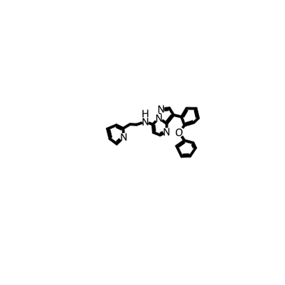 c1ccc(Oc2ccccc2-c2cnn3c(NCCc4ccccn4)ccnc23)cc1